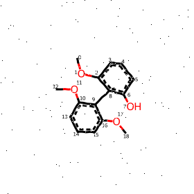 COc1cccc(O)c1-c1c(OC)cccc1OC